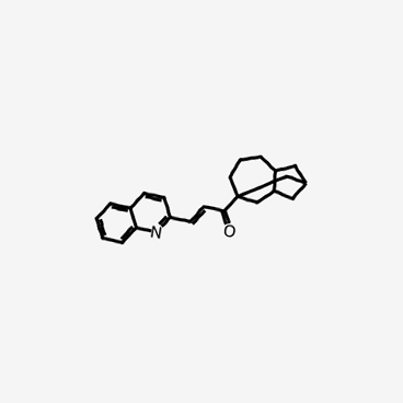 O=C(/C=C/c1ccc2ccccc2n1)C12CCCC3CC(CC3C1)C2